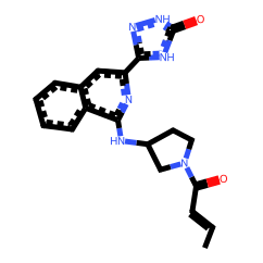 CC=CC(=O)N1CCC(Nc2nc(-c3n[nH]c(=O)[nH]3)cc3ccccc23)C1